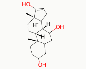 C[C@]12CCC(O)CC1CC(O)[C@@H]1[C@H]2CC[C@]2(C)C(O)=CC[C@@H]12